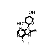 Nc1ncnc2c1nc(Br)n2[C@@H]1OC[C@@H](O)C[C@H]1O